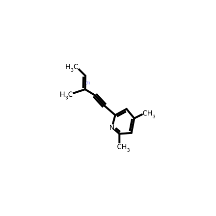 C/C=C(\C)C#Cc1cc(C)cc(C)n1